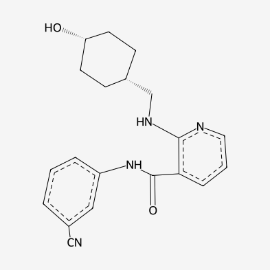 N#Cc1cccc(NC(=O)c2cccnc2NC[C@H]2CC[C@@H](O)CC2)c1